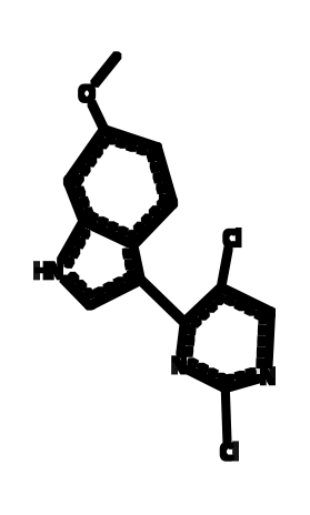 COc1ccc2c(-c3nc(Cl)ncc3Cl)c[nH]c2c1